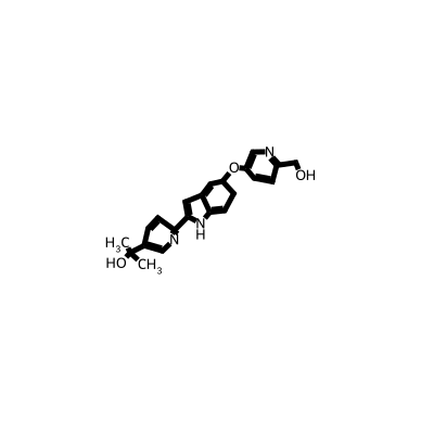 CC(C)(O)c1ccc(-c2cc3c([nH]2)=CCC(Oc2ccc(CO)nc2)C=3)nc1